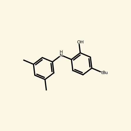 Cc1cc(C)cc(Nc2ccc(C(C)(C)C)cc2O)c1